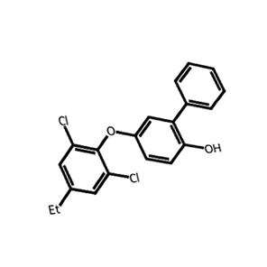 CCc1cc(Cl)c(Oc2ccc(O)c(-c3ccccc3)c2)c(Cl)c1